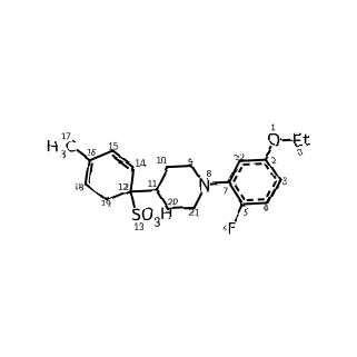 CCOc1ccc(F)c(N2CCC(C3(S(=O)(=O)O)C=CC(C)=CC3)CC2)c1